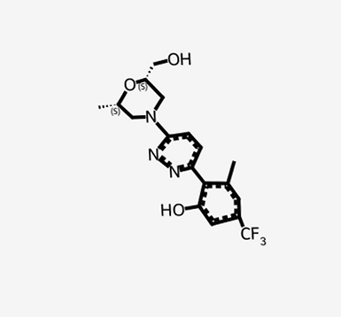 Cc1cc(C(F)(F)F)cc(O)c1-c1ccc(N2C[C@@H](CO)O[C@@H](C)C2)nn1